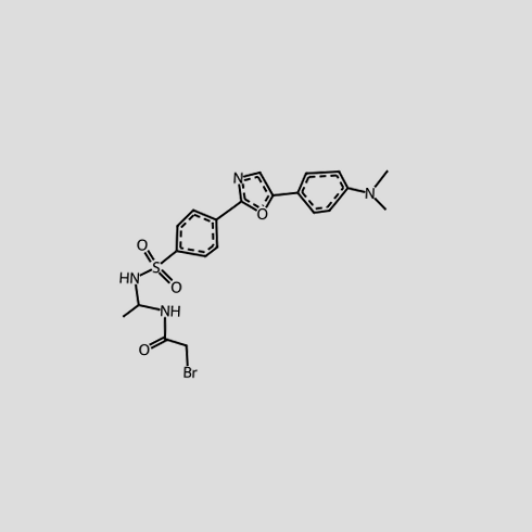 CC(NC(=O)CBr)NS(=O)(=O)c1ccc(-c2ncc(-c3ccc(N(C)C)cc3)o2)cc1